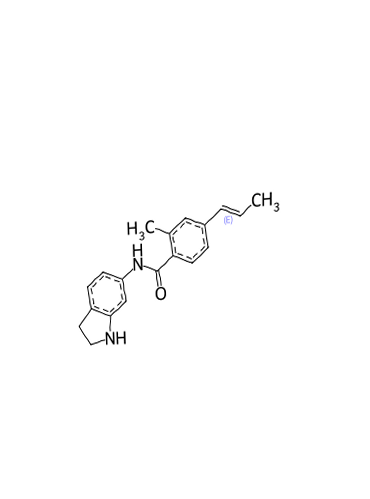 C/C=C/c1ccc(C(=O)Nc2ccc3c(c2)NCC3)c(C)c1